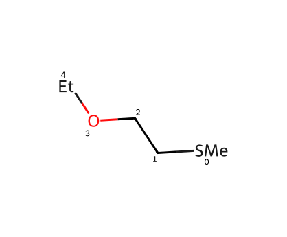 [CH2]SCCOCC